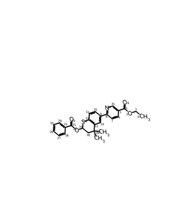 CCOC(=O)c1ccc(-c2ccc3c(c2)C(C)(C)CC(OC(=O)c2ccccc2)S3)nc1